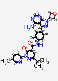 Cc1ccc(-n2nc(C(C)C)cc(C(=O)Nc3ccc(-c4nn(C5COC5)c5ncnc(N)c45)cc3F)c2=O)nc1